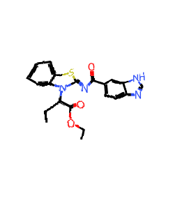 CCOC(=O)C(CC)n1c(=NC(=O)c2ccc3nc[nH]c3c2)sc2ccccc21